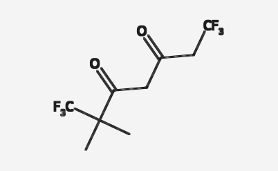 CC(C)(C(=O)CC(=O)CC(F)(F)F)C(F)(F)F